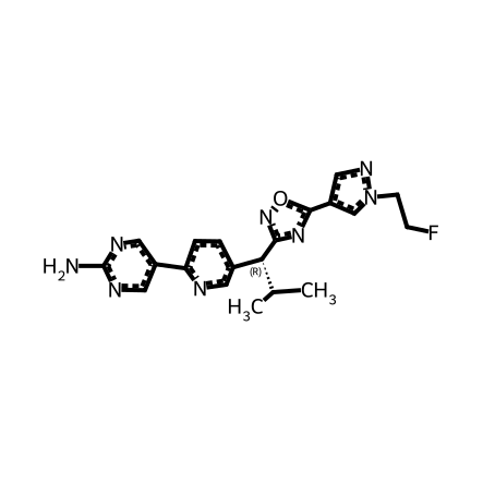 CC(C)[C@H](c1ccc(-c2cnc(N)nc2)nc1)c1noc(-c2cnn(CCF)c2)n1